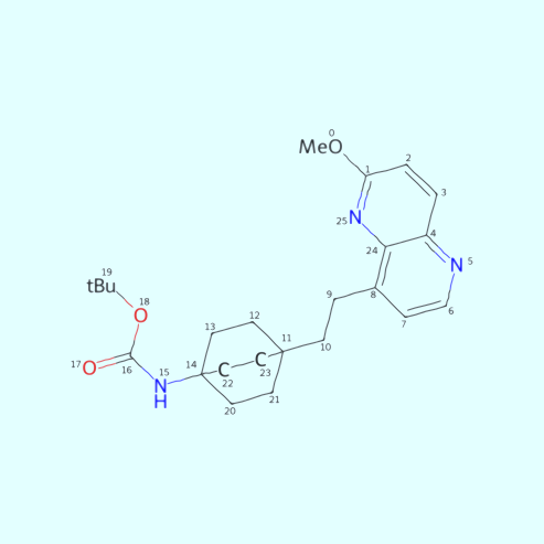 COc1ccc2nccc(CCC34CCC(NC(=O)OC(C)(C)C)(CC3)CC4)c2n1